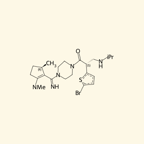 CNC1=C(C(=N)N2CCN(C(=O)[C@H](CNC(C)C)c3ccc(Br)s3)CC2)[C@H](C)CC1